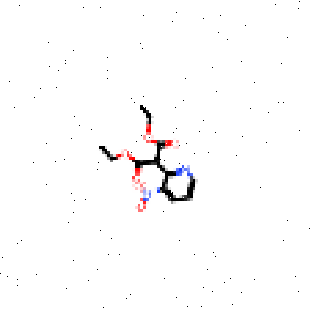 CCOC(=O)C(C(=O)OCC)c1ncccc1[N+](=O)[O-]